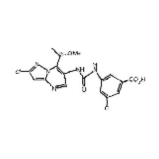 CO[C@@H](C)c1c(NC(=O)Nc2cc(Cl)cc(C(=O)O)c2)cnc2cc(Cl)nn12